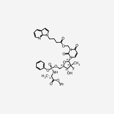 CC(C)OC(=O)[C@H](C)NP(=O)(OC[C@H]1O[C@@H](n2ccc(=O)n(COC(=O)CCCn3ccc4cccnc43)c2=O)[C@](C)(F)[C@@H]1O)Oc1ccccc1